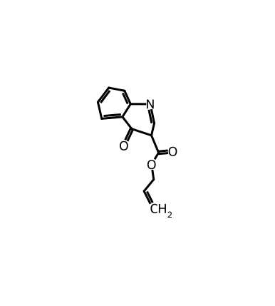 C=CCOC(=O)C1C=Nc2ccccc2C1=O